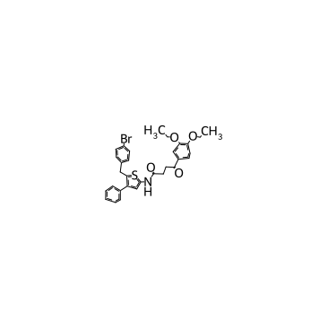 CCOc1ccc(C(=O)CCC(=O)Nc2cc(-c3ccccc3)c(Cc3ccc(Br)cc3)s2)cc1OCC